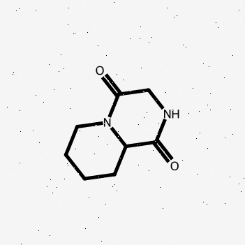 O=C1NCC(=O)N2CCCC[C]12